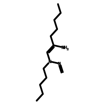 C=NN(/C=C(\N)CCCCC)CCCCC